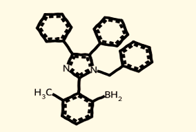 Bc1cccc(C)c1-c1nc(-c2ccccc2)c(-c2ccccc2)n1Cc1ccccc1